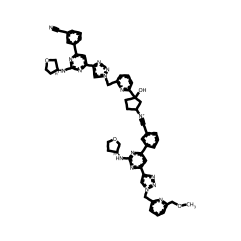 COCc1cccc(Cn2cc(-c3cc(-c4cccc(C#[N+]C5CCC(O)(c6cccc(Cn7cc(-c8cc(-c9cccc(C#N)c9)nc(N[C@@H]9CCOC9)n8)nn7)n6)C5)c4)nc(N[C@@H]4CCOC4)n3)nn2)n1